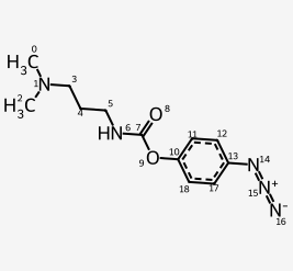 CN(C)CCCNC(=O)Oc1ccc(N=[N+]=[N-])cc1